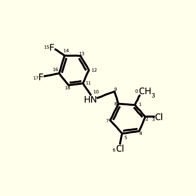 Cc1c(Cl)cc(Cl)cc1CNc1ccc(F)c(F)c1